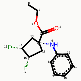 CCOC(=O)[C@]1(Nc2ccccc2)C[C@@H](F)[C@@H](F)C1